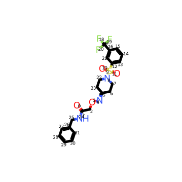 O=C(CON=C1CCN(S(=O)(=O)c2cccc(C(F)(F)F)c2)CC1)NCc1ccccc1